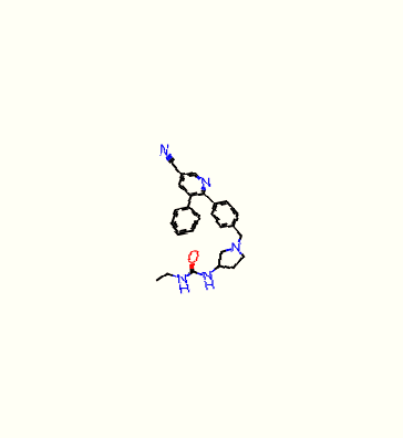 CCNC(=O)NC1CCN(Cc2ccc(-c3ncc(C#N)cc3-c3ccccc3)cc2)C1